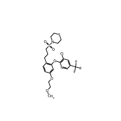 COCCOc1ccc(CCCS(=O)(=O)N2CCSCC2)c(Oc2ncc(C(F)(F)F)cc2Cl)c1